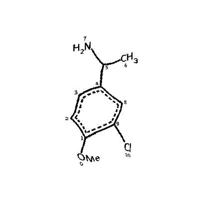 COc1ccc(C(C)N)cc1Cl